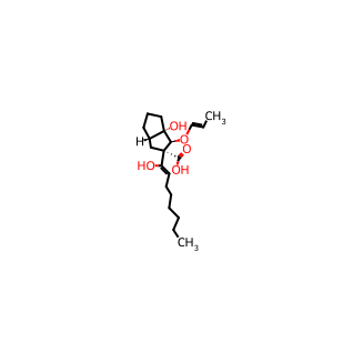 C/C=C/O[C@H]1[C@@](C(=O)O)(C(O)=CCCCCCC)C[C@@H]2CCC[C@]21O